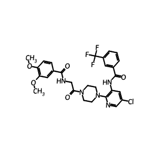 COc1ccc(C(=O)NCC(=O)N2CCN(c3ncc(Cl)cc3NC(=O)c3cccc(C(F)(F)F)c3)CC2)cc1OC